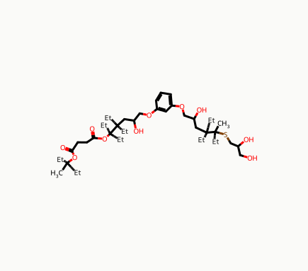 CCC(C)(CC)OC(=O)CCC(=O)OC(CC)(CC)C(CC)(CC)CC(O)COc1cccc(OCC(O)CC(CC)(CC)C(C)(CC)SCC(O)CO)c1